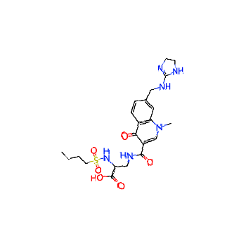 CCCCS(=O)(=O)NC(CNC(=O)c1cn(C)c2cc(CNC3=NCCN3)ccc2c1=O)C(=O)O